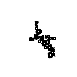 CN(C)CCOc1cccc(-n2nc(C(C)(C)C)cc2NC(=O)N[C@H]2CC[C@@H](Oc3ccc4nnc(N5CCCCC56CC6)n4c3)c3ccccc32)c1.O=CO